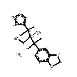 CC(C)(c1ccc2c(c1)OCO2)[C@@](N)(CO)C(C)(C)c1conn1.Cl